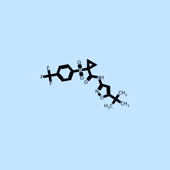 CC(C)(C)c1cc(NC(=O)C2(S(=O)(=O)c3ccc(C(F)(F)F)cc3)CC2)no1